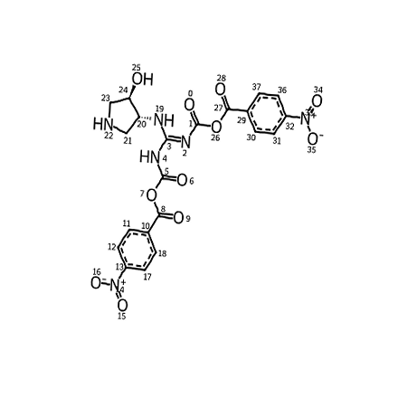 O=C(N=C(NC(=O)OC(=O)c1ccc([N+](=O)[O-])cc1)N[C@@H]1CNC[C@H]1O)OC(=O)c1ccc([N+](=O)[O-])cc1